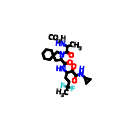 CC(NC(=O)O)C(=O)N1CC2(CCCCC2)CC1C(=O)NC(CCC(C)(F)F)C(=O)C(=O)NC1CC1